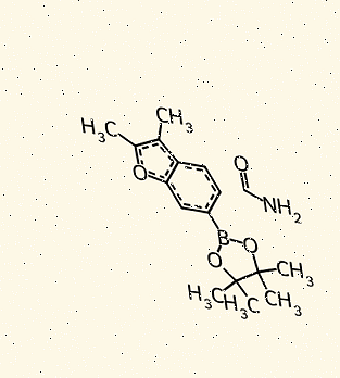 Cc1oc2cc(B3OC(C)(C)C(C)(C)O3)ccc2c1C.NC=O